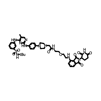 Cc1cnc(Nc2ccc(N3CCN(CC(=O)NCCOCCNc4cccc5c4C(=O)N(C4CCC(=O)NC4=O)C5=O)CC3)cc2)nc1Nc1cccc(S(=O)(=O)NC(C)(C)C)c1